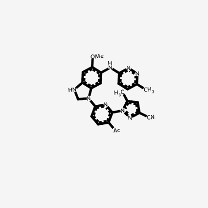 COc1cc2c(cc1Nc1ccc(C)nn1)N(c1ccc(C(C)=O)c(-n3nc(C#N)cc3C)n1)CN2